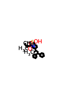 CCC(CC(c1ccccc1)c1ccccc1)C1CCC(C(O)=S)N(C(=O)C(=O)C(C)(C)CC)C1